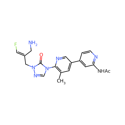 CC(=O)Nc1cc(-c2cnc(-n3cnn(C/C(=C/F)CN)c3=O)c(C)c2)ccn1